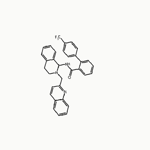 O=C(NC1c2ccccc2CCN1Cc1ccc2ccccc2n1)c1ccccc1-c1ccc(C(F)(F)F)cc1